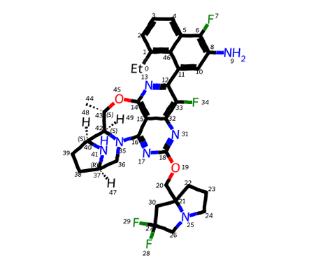 CCc1cccc2c(F)c(N)cc(-c3nc4c5c(nc(OCC67CCCN6CC(F)(F)C7)nc5c3F)N3C[C@H]5CC[C@H](N5)[C@H]3[C@H](C)O4)c12